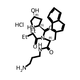 CCC(CC)C(=O)N(C(=O)[C@@H]1C[C@@H](O)CN1)[C@H](Cc1ccc2ccccc2c1)C(=O)NCCCN.Cl